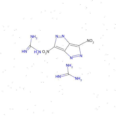 N=C(N)N.N=C(N)N.O=[N+]([O-])C1=C2N=NC([N+](=O)[O-])=C2N=N1